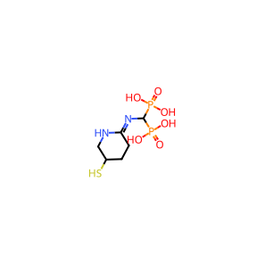 O=P(O)(O)C(/N=C1\CCC(S)CN1)P(=O)(O)O